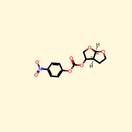 O=C(Oc1ccc([N+](=O)[O-])cc1)OC1CO[C@H]2OCC[C@@H]12